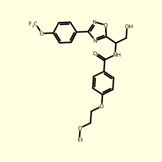 CCOCCOc1ccc(C(=O)NC(CO)c2nc(-c3ccc(OC(F)(F)F)cc3)no2)cc1